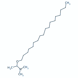 CCCCCCCCCCCCCCCCCCOC(C)N(C)C